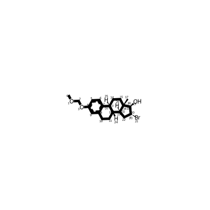 COCOc1ccc2c(c1)CC[C@@H]1[C@@H]2CC[C@]2(C)[C@@H](O)[C@H](Br)C[C@@H]12